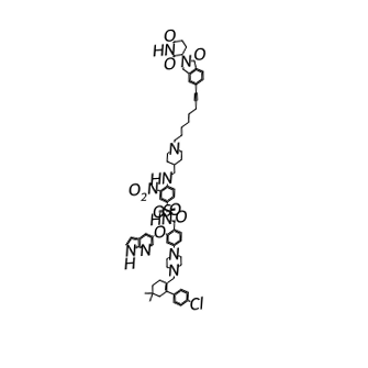 CC1(C)CCC(CN2CCN(c3ccc(C(=O)NS(=O)(=O)c4ccc(NCC5CCN(CCCCCCC#Cc6ccc7c(c6)CN(C6CCC(=O)NC6=O)C7=O)CC5)c([N+](=O)[O-])c4)c(Oc4cnc5[nH]ccc5c4)c3)CC2)=C(c2ccc(Cl)cc2)C1